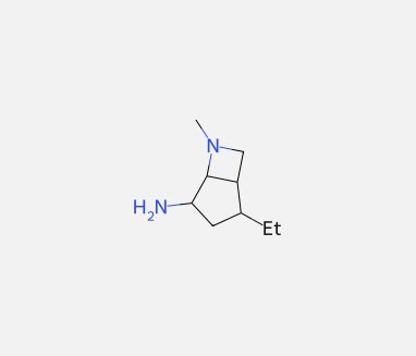 CCC1CC(N)C2C1CN2C